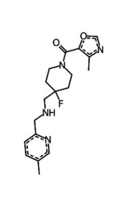 Cc1ccc(CNCC2(F)CCN(C(=O)c3ocnc3C)CC2)nc1